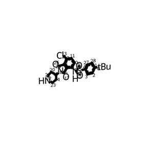 CC(C)(C)c1ccc(S(=O)(=O)Nc2ccc(Cl)c3c2C(=O)N(C2CCNCC2)C3=O)cc1